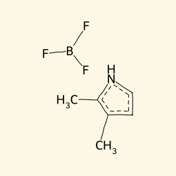 Cc1cc[nH]c1C.FB(F)F